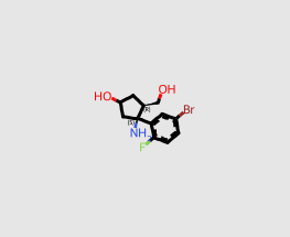 N[C@@]1(c2cc(Br)ccc2F)CC(O)C[C@H]1CO